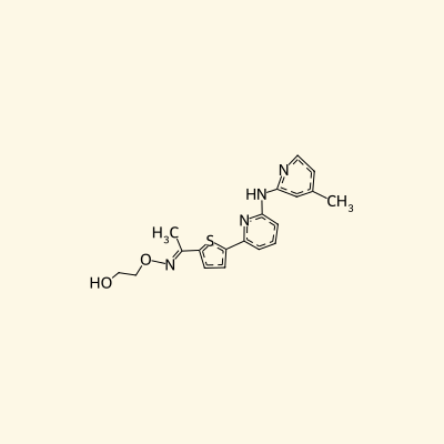 CC(=NOCCO)c1ccc(-c2cccc(Nc3cc(C)ccn3)n2)s1